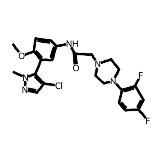 COc1ccc(NC(=O)CN2CCN(c3ccc(F)cc3F)CC2)cc1-c1c(Cl)cnn1C